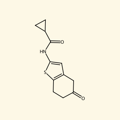 O=C1CCc2sc(NC(=O)C3CC3)cc2C1